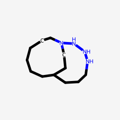 C1CCCN2CCC(CC1)CCCNNN2